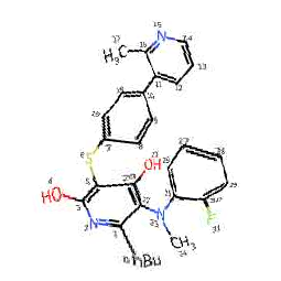 CCCCc1nc(O)c(Sc2ccc(-c3cccnc3C)cc2)c(O)c1N(C)c1ccccc1F